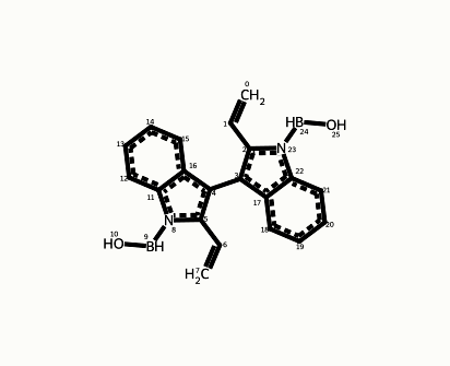 C=Cc1c(-c2c(C=C)n(BO)c3ccccc23)c2ccccc2n1BO